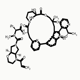 C=CC(=O)N1CCO[C@H]2CN(C(=O)N(C)[C@H](C(=O)N[C@H]3Cc4cccc(n4)-c4ccc5c(c4)c(c(-c4cccnc4[C@H](C)OC)n5CC)CC(C)(C)COC(=O)[C@@]4(O)CCCN(N4)C3=O)C(C)C)C[C@H]21